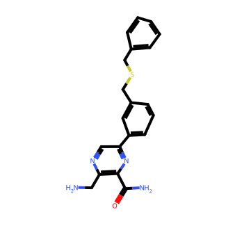 NCc1ncc(-c2cccc(CSCc3ccccc3)c2)nc1C(N)=O